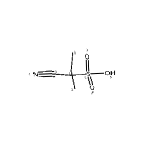 CC(C)(C#N)S(=O)(=O)O